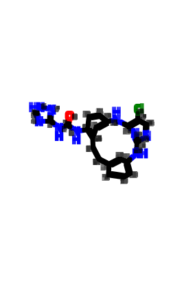 O=C(Nc1nc[nH]n1)Nc1ccc2cc1CCc1cccc(c1)Nc1ncc(Cl)c(n1)N2